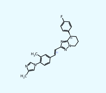 Cc1cn(-c2ccc(/C=C/c3nc4n(n3)CCC[C@@H]4c3ccc(F)cc3)cc2C)cn1